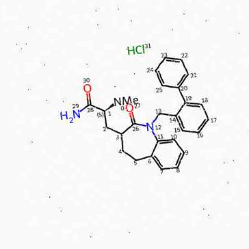 CN[C@@H](CC1CCc2ccccc2N(Cc2ccccc2-c2ccccc2)C1=O)C(N)=O.Cl